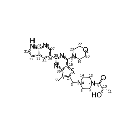 Cc1c(CN2CCN(C(=O)[C@H](C)O)CC2)sc2c(N3CCOCC3)nc(-c3cnc4[nH]ccc4c3)nc12